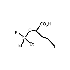 CC[Si](CC)(CC)OC(CCI)C(=O)O